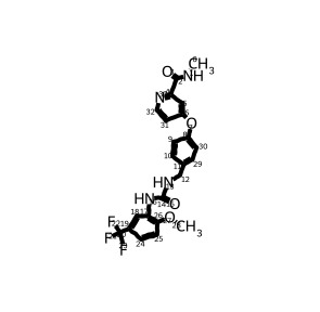 CNC(=O)c1cc(Oc2ccc(CNC(=O)Nc3cc(C(F)(F)F)ccc3OC)cc2)ccn1